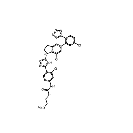 COCCOC(=O)Nc1ccc(-c2nnc([C@@H]3CCc4cc(-c5cc(Cl)ccc5-n5cnnn5)cc(=O)n43)[nH]2)c(Cl)c1